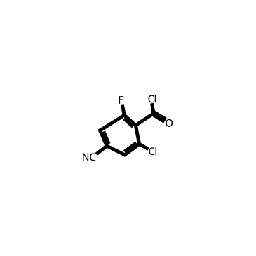 N#Cc1cc(F)c(C(=O)Cl)c(Cl)c1